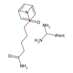 CCCC(C)C(N)N.NC(=O)CCCCC(=O)N1c2cccc1c2